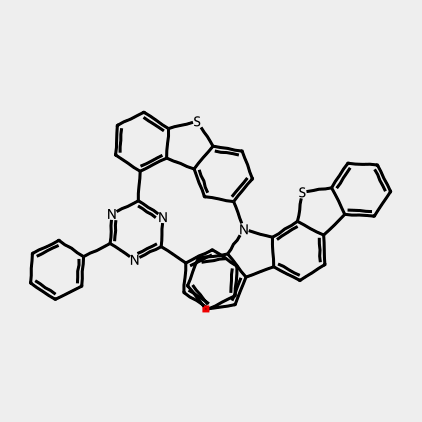 c1ccc(-c2nc(-c3ccccc3)nc(-c3cccc4sc5ccc(-n6c7ccccc7c7ccc8c9ccccc9sc8c76)cc5c34)n2)cc1